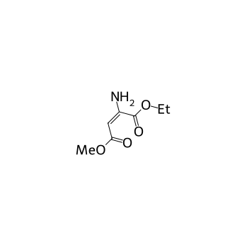 CCOC(=O)/C(N)=C\C(=O)OC